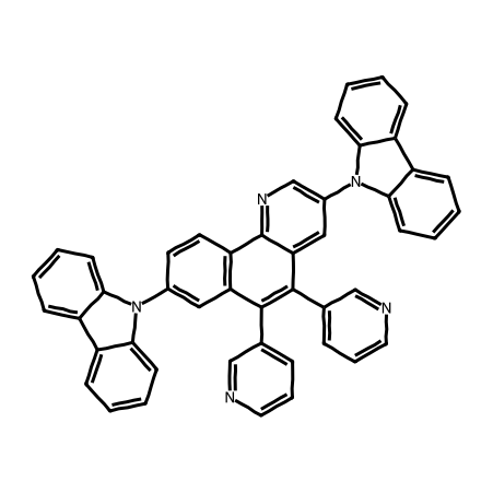 c1cncc(-c2c(-c3cccnc3)c3cc(-n4c5ccccc5c5ccccc54)cnc3c3ccc(-n4c5ccccc5c5ccccc54)cc23)c1